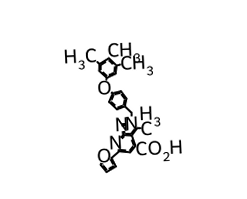 Cc1cc(Oc2ccc(Cn3nc4nc(-c5ccco5)cc(C(=O)O)c4c3C)cc2)cc(C)c1C